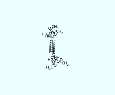 C=CC(=O)OCC(C)(COC(=O)C=C)NC(=O)OCC(F)(F)C(F)(F)C(F)(F)C(F)(F)C(F)(F)C(F)(F)COC(=O)NC(C)(COC(=O)C=C)COC(=O)C=C